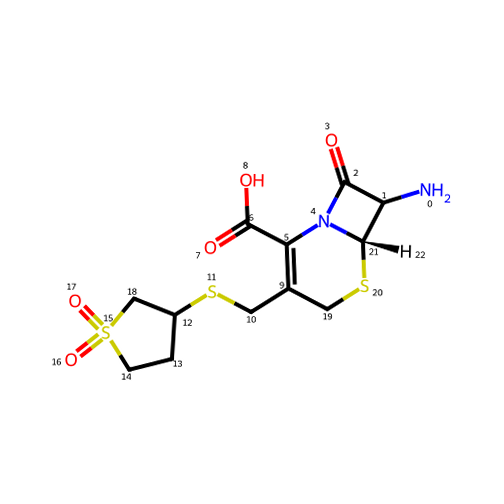 NC1C(=O)N2C(C(=O)O)=C(CSC3CCS(=O)(=O)C3)CS[C@@H]12